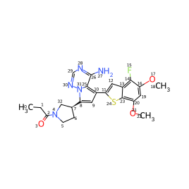 CCC(=O)N1CC[C@H](c2cc(-c3cc4c(F)c(OC)cc(OC)c4s3)c3c(N)ncnn23)C1